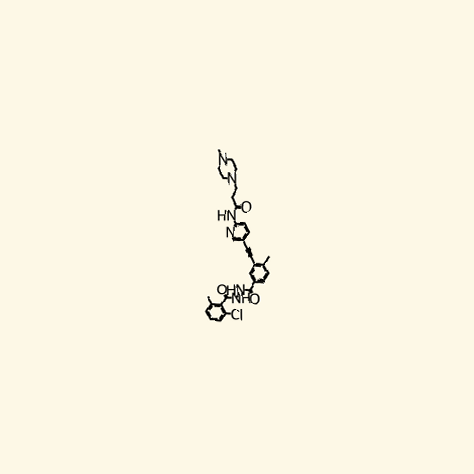 Cc1ccc(C(=O)NNC(=O)c2c(C)cccc2Cl)cc1C#Cc1ccc(NC(=O)CCN2CCN(C)CC2)nc1